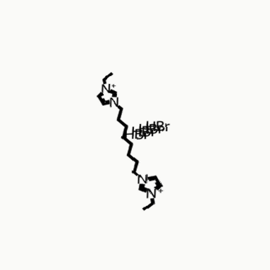 Br.Br.Br.Br.CC[n+]1ccn(CCCCCCCCn2cc[n+](CC)c2)c1